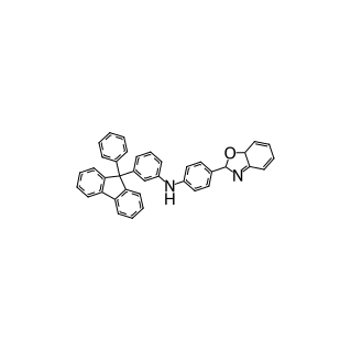 C1=CC2=NC(c3ccc(Nc4cccc(C5(c6ccccc6)c6ccccc6-c6ccccc65)c4)cc3)OC2C=C1